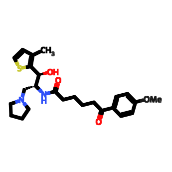 COc1ccc(C(=O)CCCCC(=O)N[C@H](CN2CCCC2)[C@H](O)c2sccc2C)cc1